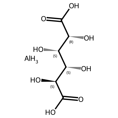 O=C(O)[C@@H](O)[C@@H](O)[C@H](O)[C@@H](O)C(=O)O.[AlH3]